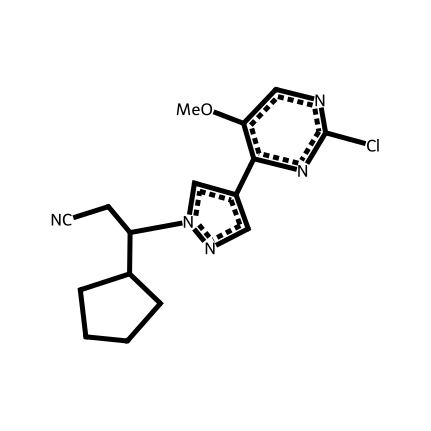 COc1cnc(Cl)nc1-c1cnn(C(CC#N)C2CCCC2)c1